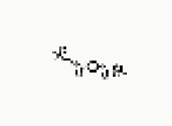 Cc1ccc(C(=O)Nc2ccc(C(=O)NCCCC(=O)O)cc2)o1